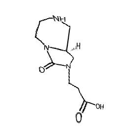 O=C(O)CCN1C[C@@H]2CNCCN2C1=O